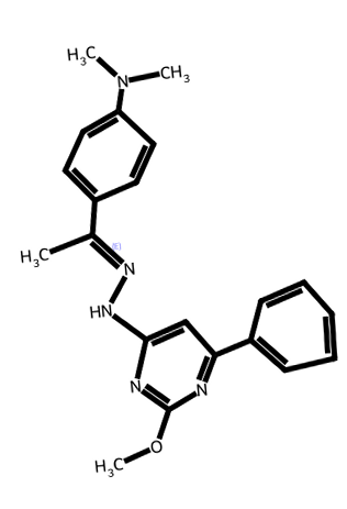 COc1nc(N/N=C(\C)c2ccc(N(C)C)cc2)cc(-c2ccccc2)n1